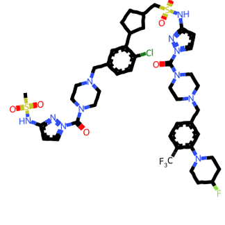 CS(=O)(=O)Nc1ccn(C(=O)N2CCN(Cc3ccc(Cl)c(C4CCC(CS(=O)(=O)Nc5ccn(C(=O)N6CCN(Cc7ccc(C(F)(F)F)c(N8CCC(F)CC8)c7)CC6)n5)C4)c3)CC2)n1